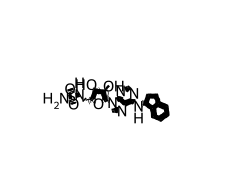 NS(=O)(=O)NC[C@H]1O[C@@H](n2cnc3c(N[C@@H]4CCc5ccccc54)ncnc32)[C@H](O)[C@@H]1O